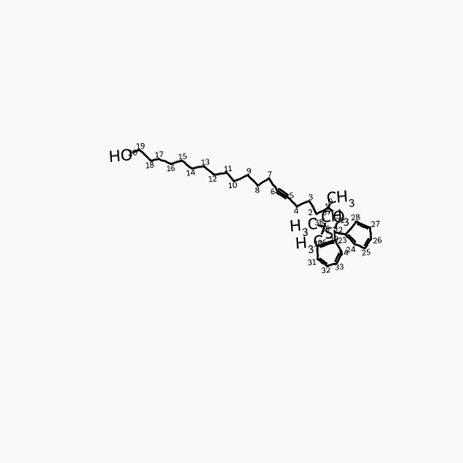 CC(CCCC#CCCCCCCCCCCCCCO)O[Si](c1ccccc1)(c1ccccc1)C(C)(C)C